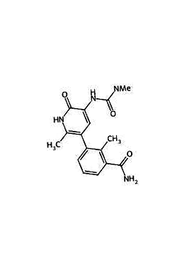 CNC(=O)Nc1cc(-c2cccc(C(N)=O)c2C)c(C)[nH]c1=O